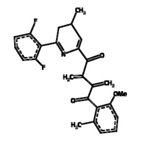 C=C(C(=C)C(=O)c1c(C)cccc1OC)C(=O)C1=CC(C)CC(c2c(F)cccc2F)=N1